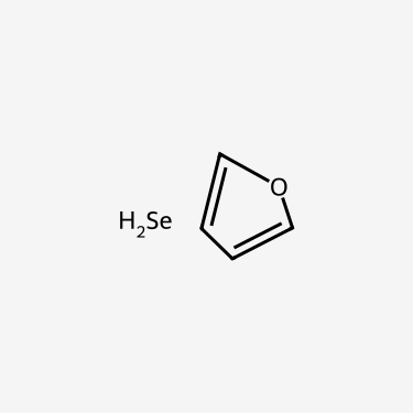 [SeH2].c1ccoc1